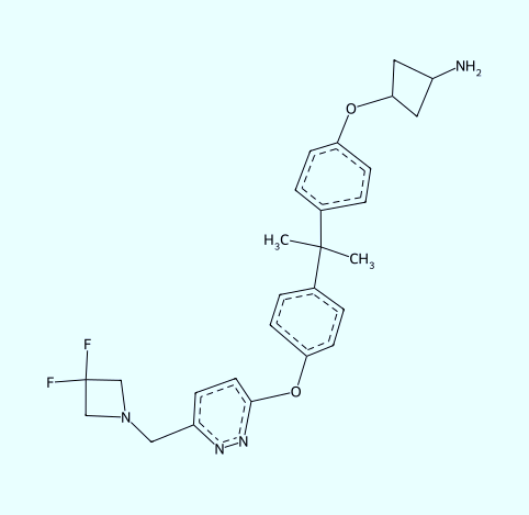 CC(C)(c1ccc(Oc2ccc(CN3CC(F)(F)C3)nn2)cc1)c1ccc(OC2CC(N)C2)cc1